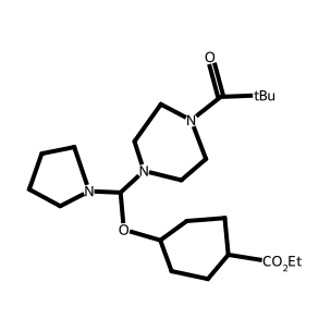 CCOC(=O)C1CCC(OC(N2CCCC2)N2CCN(C(=O)C(C)(C)C)CC2)CC1